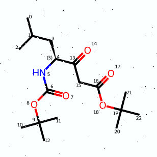 CC(C)C[C@H](NC(=O)OC(C)(C)C)C(=O)CC(=O)OC(C)(C)C